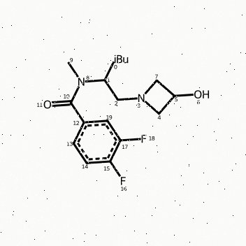 CCC(C)C(CN1CC(O)C1)N(C)C(=O)c1ccc(F)c(F)c1